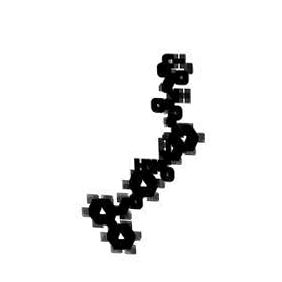 COC(=O)CNC(=O)OC[n+]1cccc(CNC(=O)Nc2ccc(OCCc3ccccc3-c3ccccc3)cc2)c1